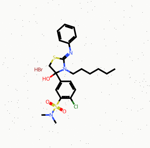 Br.CCCCCCN1C(=Nc2ccccc2)SCC1(O)c1ccc(Cl)c(S(=O)(=O)N(C)C)c1